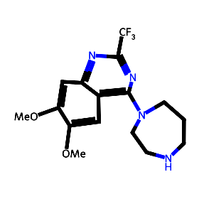 COc1cc2nc(C(F)(F)F)nc(N3CCCNCC3)c2cc1OC